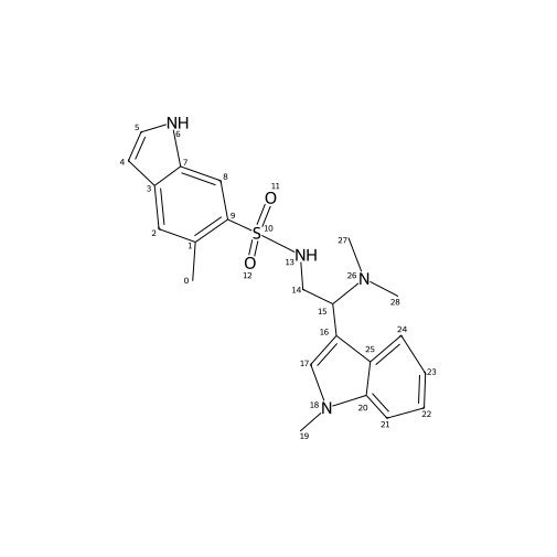 Cc1cc2cc[nH]c2cc1S(=O)(=O)NCC(c1cn(C)c2ccccc12)N(C)C